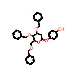 Oc1ccc(OC2CC(OCc3ccccc3)C(OCc3ccccc3)C(COCc3ccccc3)O2)cc1